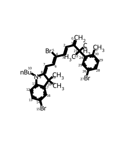 C=C(/C=C/C(Br)=C/C=C1/N(CCCC)c2ccc(Br)cc2C1(C)C)C(C)(C)c1cc(Br)ccc1C